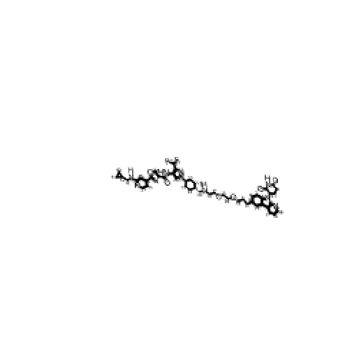 O=C1CCC(n2c3ccc(CCCOCCOCCNC[C@H]4CC[C@H](n5cc(NC(=O)c6coc(-c7ccnc(NCC8CC8)c7)n6)c(C(F)F)n5)CC4)cc3c3cccnc32)C(=O)N1